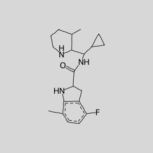 Cc1ccc(F)c2c1NC(C(=O)NC(C1CC1)C1NCCCC1C)C2